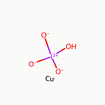 [Cu].[O-][I+3]([O-])([O-])O